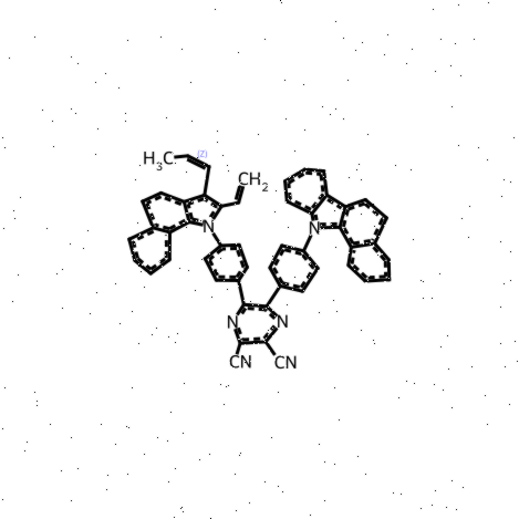 C=Cc1c(/C=C\C)c2ccc3ccccc3c2n1-c1ccc(-c2nc(C#N)c(C#N)nc2-c2ccc(-n3c4ccccc4c4ccc5ccccc5c43)cc2)cc1